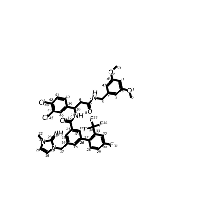 COc1cc(CNC(=O)CC(NC(=O)c2cc(Cn3ccn(C)c3=N)cc(-c3ccc(F)cc3C(F)(F)F)c2)c2ccc(Cl)c(Cl)c2)cc(OC)c1